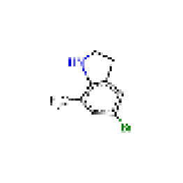 FC(F)(F)c1cc(Br)cc2c1NCC2